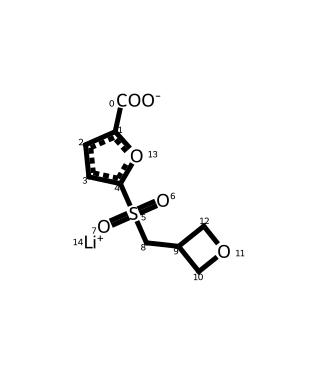 O=C([O-])c1ccc(S(=O)(=O)CC2COC2)o1.[Li+]